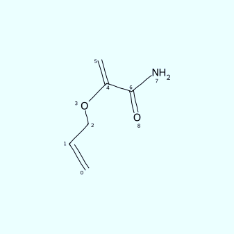 C=CCOC(=C)C(N)=O